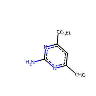 CCOC(=O)c1cc(C=O)nc(N)n1